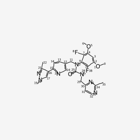 COc1cc(OC)c(F)c(N(Cc2ccc(-c3cn(C)nc3C)nc2)C(=O)N(C)Cc2ccnc(C)n2)c1F